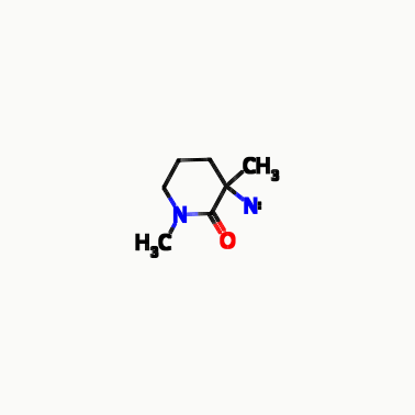 CN1CCCC(C)([N])C1=O